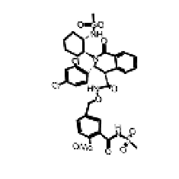 COc1ccc(CONC(=O)[C@@H]2c3ccccc3C(=O)N([C@H]3CCCC[C@@H]3NS(C)(=O)=O)[C@H]2c2ccc(Cl)cc2Cl)cc1C(=O)NS(C)(=O)=O